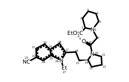 CCOC(=O)C1CCCCN1CC(=O)N1CCC[C@H]1CCc1cc2ccc(C#N)cc2n1CC